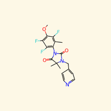 COc1c(F)c(C)c(N2C(=O)N(Cc3ccncc3)C(C)(C)C2=O)c(F)c1F